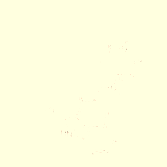 O=C1Nc2cccc3cc(COC4CCOCC4)cc1c23